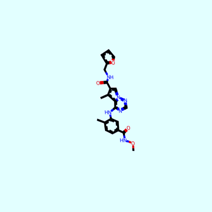 CONC(=O)c1ccc(C)c(Nc2ncnn3cc(C(=O)NCc4ccco4)c(C)c23)c1